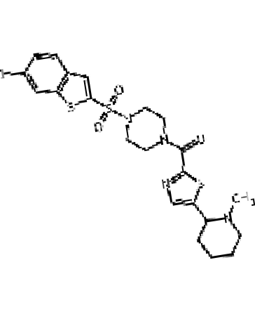 CN1CCCCC1c1cnc(C(=O)N2CCN(S(=O)(=O)c3cc4ccc(Cl)cc4s3)CC2)s1